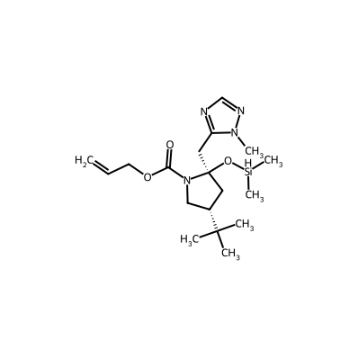 C=CCOC(=O)N1C[C@@H](C(C)(C)C)C[C@]1(Cc1ncnn1C)O[SiH](C)C